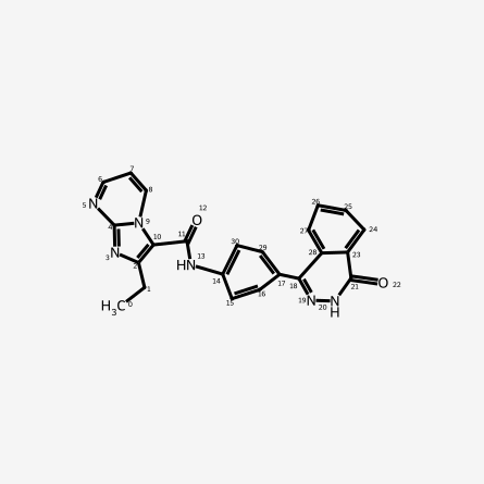 CCc1nc2ncccn2c1C(=O)Nc1ccc(-c2n[nH]c(=O)c3ccccc23)cc1